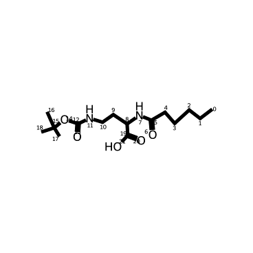 CCCCCC(=O)NC(CCNC(=O)OC(C)(C)C)C(=O)O